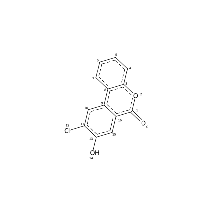 O=c1oc2ccccc2c2cc(Cl)c(O)cc12